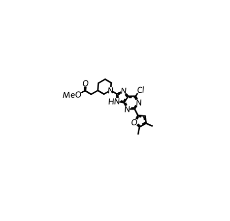 COC(=O)CC1CCCN(c2nc3c(Cl)nc(-c4cc(C)c(C)o4)nc3[nH]2)C1